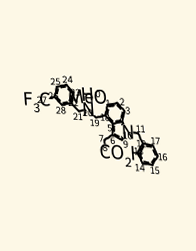 COc1ccc2c(c(CC(=O)O)cn2Cc2ccccc2)c1CNCc1cccc(C(F)(F)F)c1